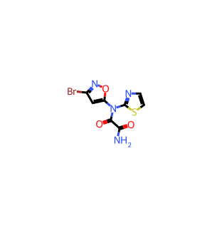 NC(=O)C(=O)N(c1cc(Br)no1)c1nccs1